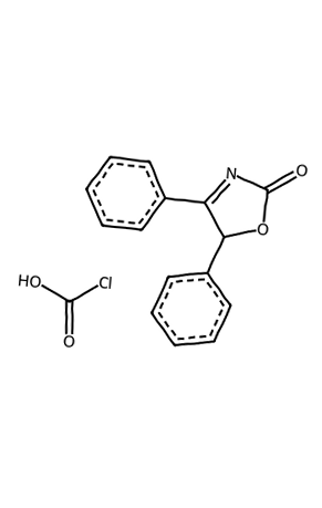 O=C(O)Cl.O=C1N=C(c2ccccc2)C(c2ccccc2)O1